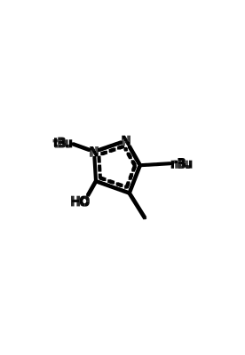 CCCCc1nn(C(C)(C)C)c(O)c1C